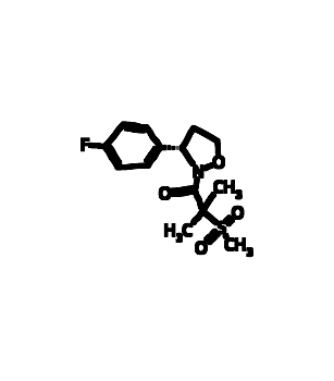 CC(C)(C(=O)N1OCC[C@H]1c1ccc(F)cc1)S(C)(=O)=O